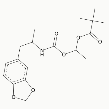 CC(Cc1ccc2c(c1)OCO2)NC(=O)OC(C)OC(=O)C(C)(C)C